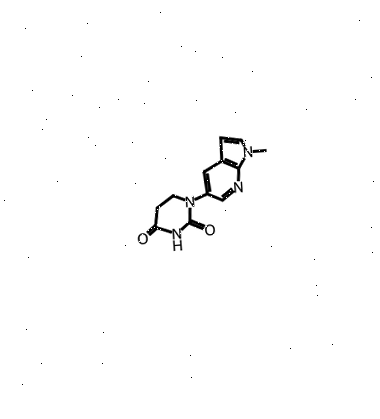 Cn1ccc2cc(N3CCC(=O)NC3=O)cnc21